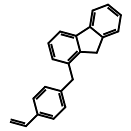 C=Cc1ccc(Cc2cccc3c2Cc2ccccc2-3)cc1